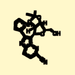 CC1(C)O[C@@H]2[C@H](O1)[C@@H](CO)O[C@H]2c1c(-c2ccc[nH]2)nc2ccc(C#N)nn12